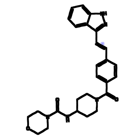 O=C(NC1CCN(C(=O)c2ccc(/C=C/c3n[nH]c4ccccc34)cc2)CC1)N1CCOCC1